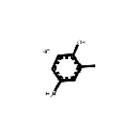 Cc1cc(N)ccc1O.Cl